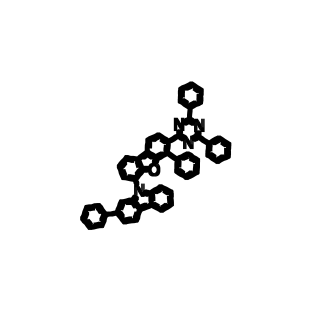 c1ccc(-c2ccc3c4ccccc4n(-c4cccc5c4oc4c(-c6ccccc6)c(-c6nc(-c7ccccc7)nc(-c7ccccc7)n6)ccc45)c3c2)cc1